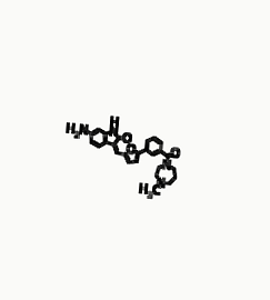 CN1CCCN(C(=O)c2cccc(-c3ccc(C=C4C(=O)Nc5cc(N)ccc54)o3)c2)CC1